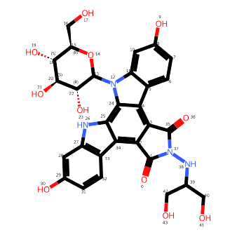 O=C1c2c(c3c4ccc(O)cc4n(C4O[C@H](CO)[C@@H](O)[C@H](O)[C@H]4O)c3c3[nH]c4cc(O)ccc4c23)C(=O)N1NC(CO)CO